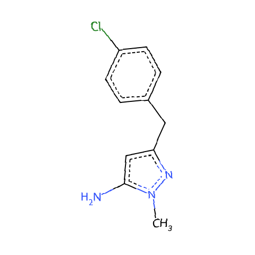 Cn1nc(Cc2ccc(Cl)cc2)cc1N